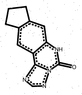 O=c1[nH]c2cc3c(cc2c2ncnn12)CCC3